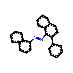 c1ccc(-c2ccc3ccccc3c2N=Nc2cccc3ccccc23)cc1